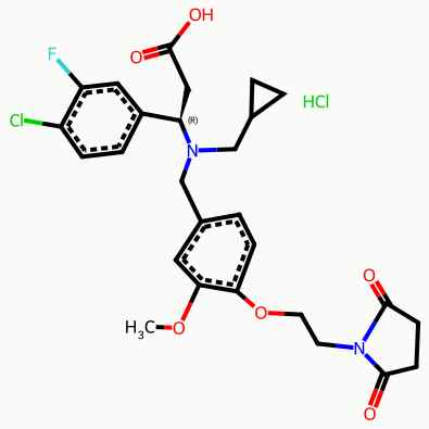 COc1cc(CN(CC2CC2)[C@H](CC(=O)O)c2ccc(Cl)c(F)c2)ccc1OCCN1C(=O)CCC1=O.Cl